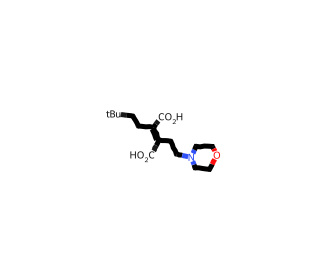 CC(C)(C)CC/C(C(=O)O)=C(/CCN1CCOCC1)C(=O)O